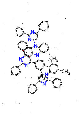 Cc1cc(C)c(-c2cc(N3c4ccccc4N(c4cc(-c5ccccc5)nc(-c5ccccc5)n4)c4ccccc43)c(-c3cc(-c4ccccc4)nc(-c4ccccc4)n3)cc2-c2cc(-c3ccccc3)nc(-c3ccccc3)n2)c(C)c1